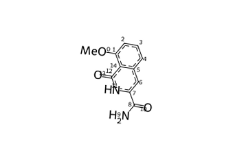 COc1cccc2cc(C(N)=O)[nH]c(=O)c12